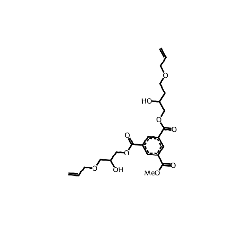 C=CCOCCC(O)COC(=O)c1cc(C(=O)OC)cc(C(=O)OCC(O)COCC=C)c1